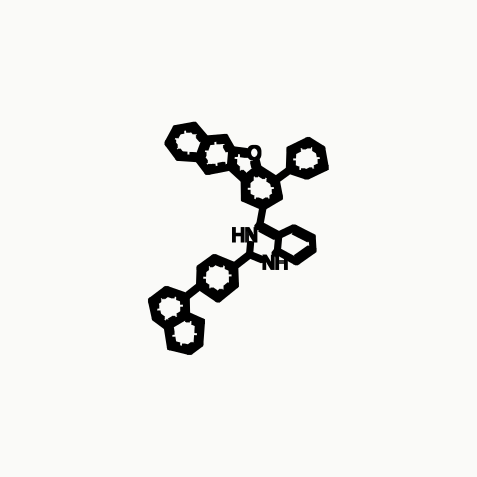 C1=CC2=C(c3cc(-c4ccccc4)c4oc5cc6ccccc6cc5c4c3)NC(c3ccc(-c4cccc5ccccc45)cc3)NC2C=C1